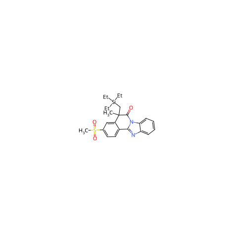 CC[Si](CC)(CC)CC1(C)C(=O)n2c(nc3ccccc32)-c2ccc(S(C)(=O)=O)cc21